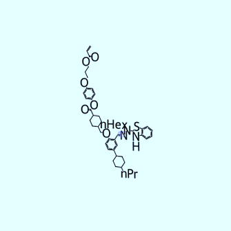 C=CC(=O)OCCCOc1ccc(OC(=O)C2CCC(COc3ccc(C4CCC(CCC)CC4)cc3/C=N/N(CCCCCC)C3Nc4ccccc4S3)CC2)cc1